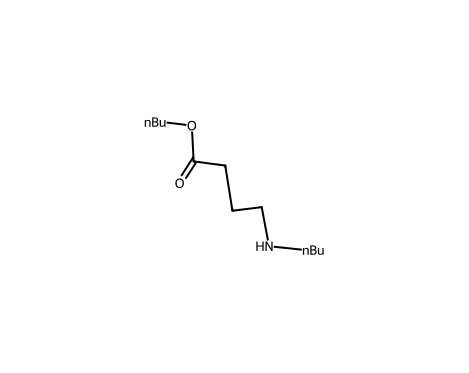 [CH2]CCCOC(=O)CCCNCCCC